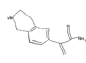 C=C(C(N)=O)c1ccc2c(c1)CCNC2